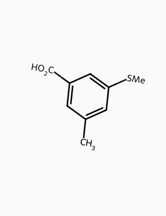 CSc1cc(C)cc(C(=O)O)c1